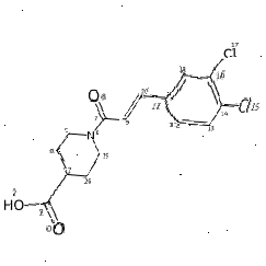 O=C(O)C1CCN(C(=O)C=Cc2ccc(Cl)c(Cl)c2)CC1